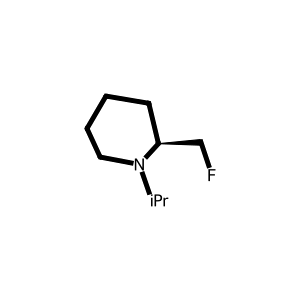 CC(C)N1CCCC[C@H]1CF